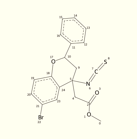 COC(=O)CC1(N=C=S)CC(c2ccccc2)Oc2ccc(Br)cc21